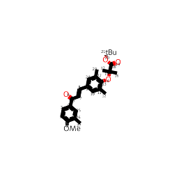 COc1ccc(C(=O)C=Cc2cc(C)c(OC(C)(C)C(=O)OC(C)(C)C)c(C)c2)cc1C